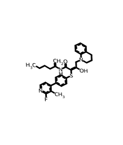 C=C(CCCC)NC(=O)/C(Sc1ccc(-c2ccnc(F)c2C)cc1)=C(/O)CN1CCCc2ccccc21